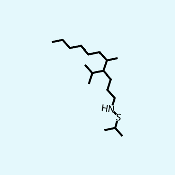 CCCCCCC(C)C(CCCNSC(C)C)C(C)C